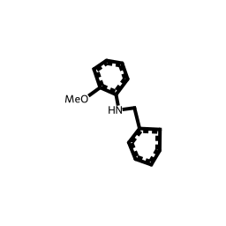 COc1ccccc1NCc1ccccc1